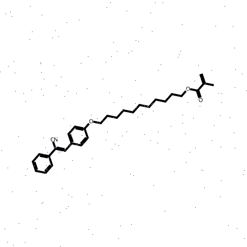 C=C(C)C(=O)OCCCCCCCCCCCOc1ccc(/C=C(\C#N)c2ccccc2)cc1